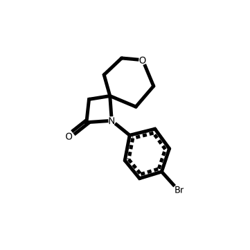 O=C1CC2(CCOCC2)N1c1ccc(Br)cc1